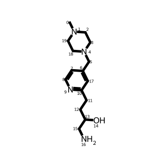 CN1CCN(Cc2ccnc(CCC(O)CN)c2)CC1